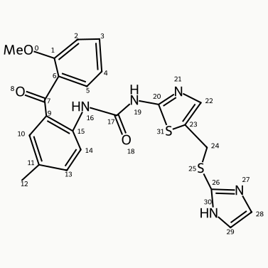 COc1ccccc1C(=O)c1cc(C)ccc1NC(=O)Nc1ncc(CSc2ncc[nH]2)s1